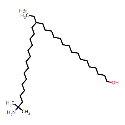 Br.CCC(CCCCCCCCCCCCCCCCO)CCCCCCCCCCCCCCC(C)(C)N